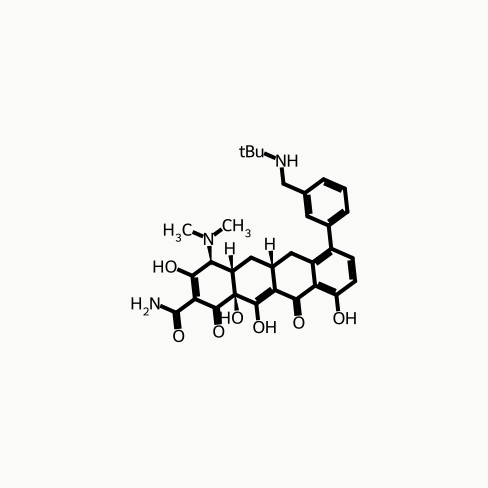 CN(C)[C@@H]1C(O)=C(C(N)=O)C(=O)[C@@]2(O)C(O)=C3C(=O)c4c(O)ccc(-c5cccc(CNC(C)(C)C)c5)c4C[C@H]3C[C@@H]12